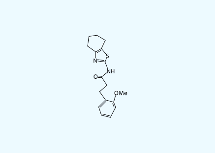 COc1ccccc1CCC(=O)Nc1nc2c(s1)CCCC2